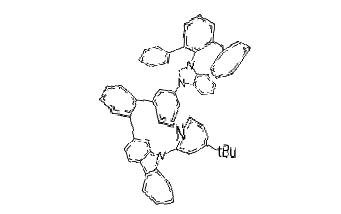 CC(C)(C)c1ccnc(-n2c3ccccc3c3ccc(-c4ccccc4-c4cccc(N5CN(c6c(-c7ccccc7)cccc6-c6ccccc6)c6ccccc65)c4)cc32)c1